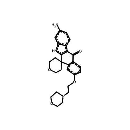 Nc1ccc2c3c([nH]c2c1)C1(CCOCC1)c1cc(OCCN2CCOCC2)ccc1C3=O